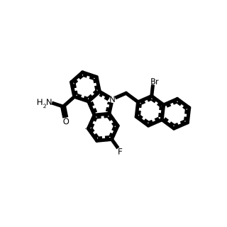 NC(=O)c1cccc2c1c1[c]cc(F)cc1n2Cc1ccc2ccccc2c1Br